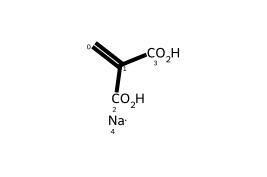 C=C(C(=O)O)C(=O)O.[Na]